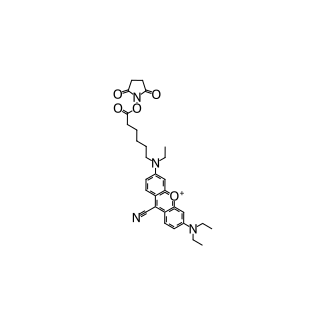 CCN(CC)c1ccc2c(C#N)c3ccc(N(CC)CCCCCC(=O)ON4C(=O)CCC4=O)cc3[o+]c2c1